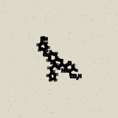 C=C(C)[C@H](NC(=O)c1cc2ccc(Oc3ccc(C(C)(C)C)cc3)cc2c(CC2CCCC2)n1)C(=O)O